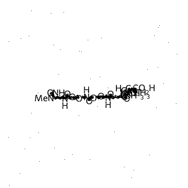 CNC(CCCCNC(=O)COCCOCCNC(=O)COCCOCCNC(=O)CCCCCS(=O)(=O)NC(=O)C(C)(C)CC(C)(C)C(=O)O)C(N)=O